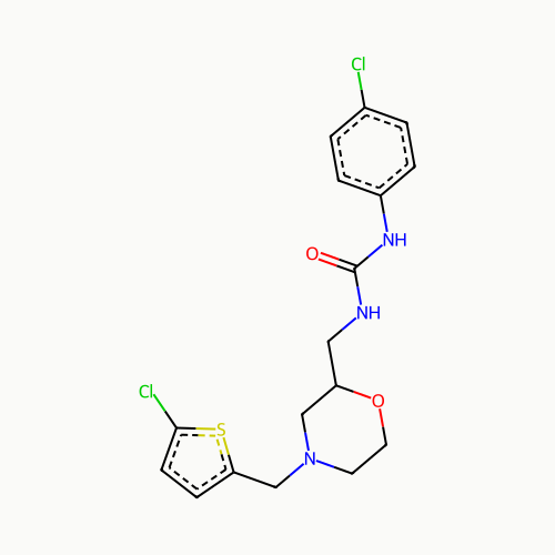 O=C(NCC1CN(Cc2ccc(Cl)s2)CCO1)Nc1ccc(Cl)cc1